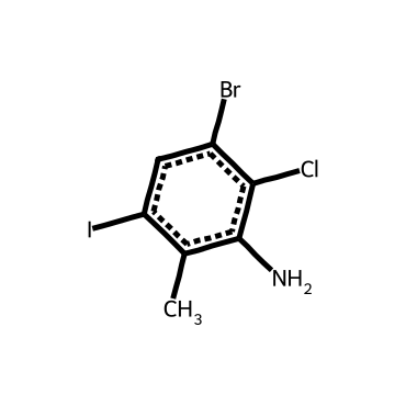 Cc1c(I)cc(Br)c(Cl)c1N